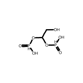 O=[PH](O)OC(CO)O[PH](=O)O